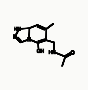 CC(=O)NCC1=C(O)N2C=NNC2C=C1C